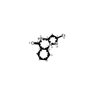 CCc1cc2[nH]c(=O)c3ccccc3n2n1